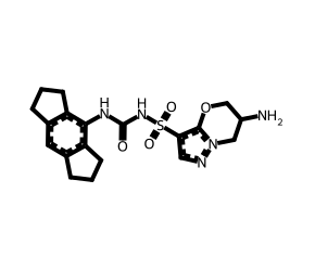 NC1COc2c(S(=O)(=O)NC(=O)Nc3c4c(cc5c3CCC5)CCC4)cnn2C1